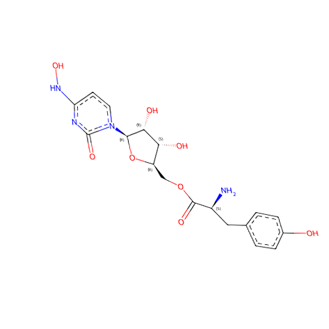 N[C@@H](Cc1ccc(O)cc1)C(=O)OC[C@H]1O[C@@H](n2ccc(NO)nc2=O)[C@H](O)[C@@H]1O